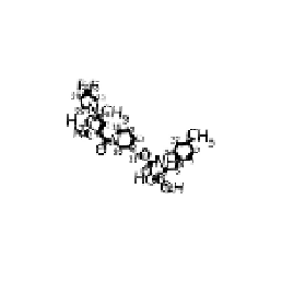 Cc1ccc(C[C@H](NC(=O)OC[C@H]2CCCN(C(=O)C(C#N)=CC(C)(C)N3CCC(F)(F)C3)C2)B(O)O)cc1